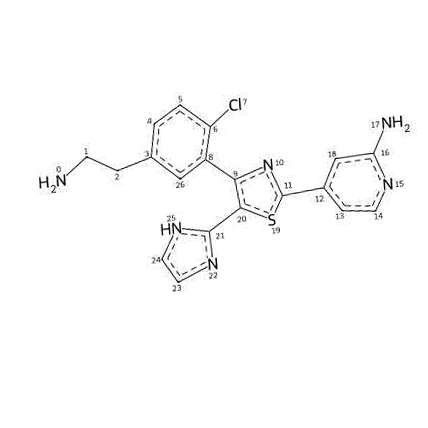 NCCc1ccc(Cl)c(-c2nc(-c3ccnc(N)c3)sc2-c2ncc[nH]2)c1